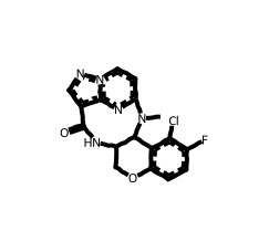 CN1c2ccn3ncc(c3n2)C(=O)NC2COc3ccc(F)c(Cl)c3C21